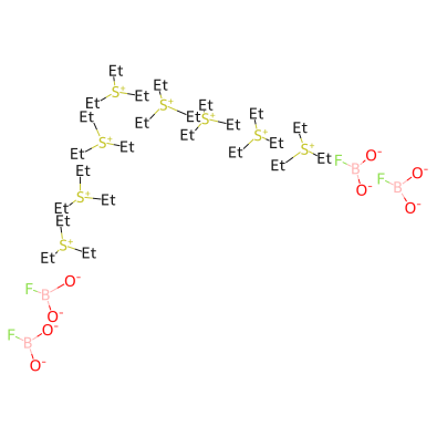 CC[S+](CC)CC.CC[S+](CC)CC.CC[S+](CC)CC.CC[S+](CC)CC.CC[S+](CC)CC.CC[S+](CC)CC.CC[S+](CC)CC.CC[S+](CC)CC.[O-]B([O-])F.[O-]B([O-])F.[O-]B([O-])F.[O-]B([O-])F